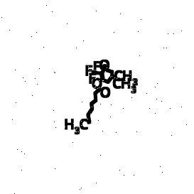 CCCCCCCC(=O)OC1=C(C(F)(F)F)C(=O)CC(C)(C)C1